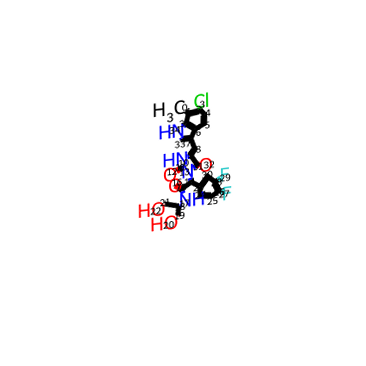 Cc1c(Cl)ccc2c(/C=C3\NC(=O)N(C(C(=O)NC(CO)CO)c4ccc(F)c(F)c4)C3=O)c[nH]c12